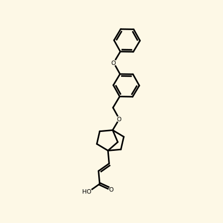 O=C(O)C=CC12CCC(OCc3cccc(Oc4ccccc4)c3)(CC1)C2